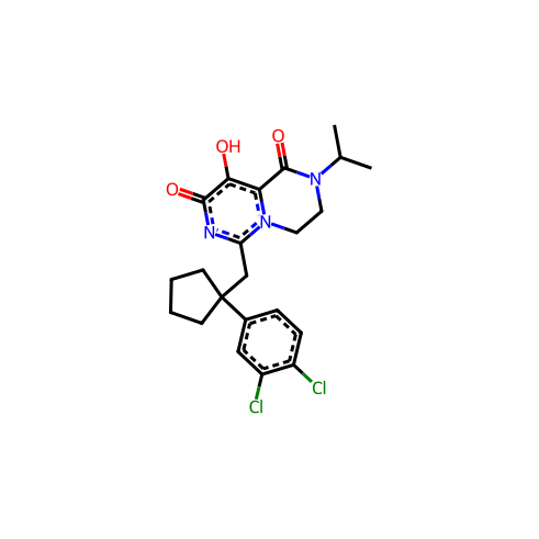 CC(C)N1CCn2c(CC3(c4ccc(Cl)c(Cl)c4)CCCC3)nc(=O)c(O)c2C1=O